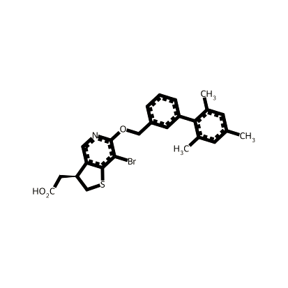 Cc1cc(C)c(-c2cccc(COc3ncc4c(c3Br)SC[C@H]4CC(=O)O)c2)c(C)c1